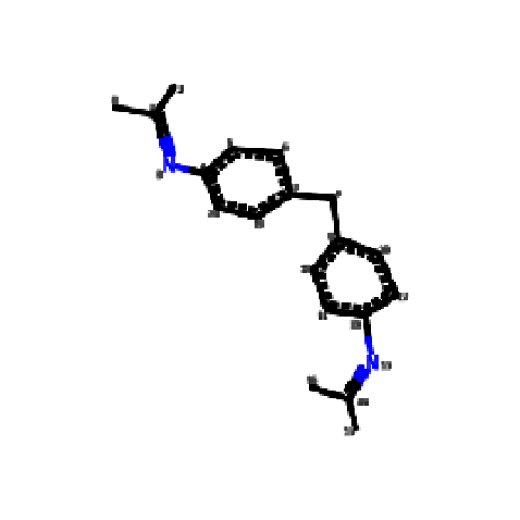 CC(C)=Nc1ccc(Cc2ccc(N=C(C)C)cc2)cc1